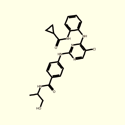 CC(CO)NC(=O)c1ccc(Nc2ncc(Cl)c(Nc3ccccc3NC(=O)C3CC3)n2)cc1